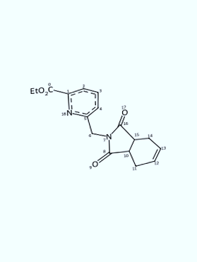 CCOC(=O)c1cccc(CN2C(=O)C3CC=CCC3C2=O)n1